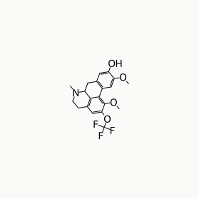 COc1cc2c(cc1O)CC1c3c(cc(OC(F)(F)F)c(OC)c3-2)CCN1C